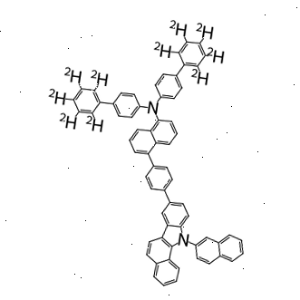 [2H]c1c([2H])c([2H])c(-c2ccc(N(c3ccc(-c4c([2H])c([2H])c([2H])c([2H])c4[2H])cc3)c3cccc4c(-c5ccc(-c6ccc7c(c6)c6ccc8ccccc8c6n7-c6ccc7ccccc7c6)cc5)cccc34)cc2)c([2H])c1[2H]